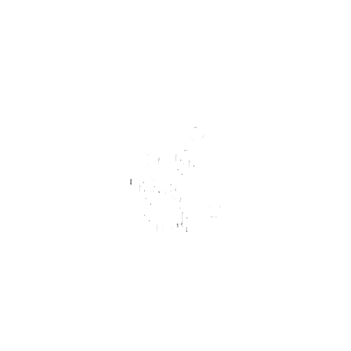 CC(C)C(CS(=O)(=O)N1CCN(c2ncc(-c3ccc(F)cc3)cn2)CC1)C(=O)N1C(=O)OCC1Cc1ccccc1.Cl.Cl.Fc1ccc(-c2cnc(N3CCNCC3)nc2)cc1